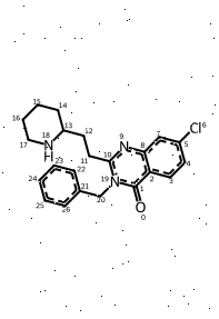 O=c1c2ccc(Cl)cc2nc(CCC2CCCCN2)n1Cc1ccccc1